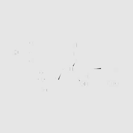 CCC(=O)OCC(=O)[C@@]1(OC(=O)CC)[C@H](C)C[C@H]2[C@H]3[C@H]([C@@H](O)C[C@@]21C)[C@@]1(C)CC(C=O)C(=O)C=C1C[C@H]3Cl